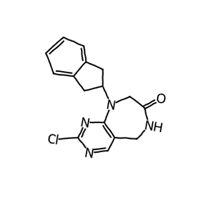 O=C1CN(C2Cc3ccccc3C2)c2nc(Cl)ncc2CN1